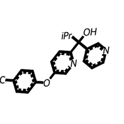 CC(C)C(O)(c1cccnc1)c1ccc(Oc2ccc(C(F)(F)F)cc2)cn1